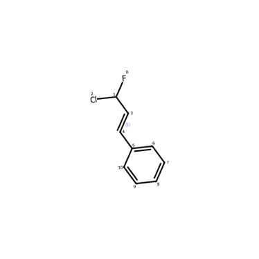 FC(Cl)/C=C/c1ccccc1